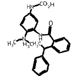 CC(c1ccccc1)c1ccccc1C(=O)Nc1cc(NC(=O)O)ccc1N(C)C